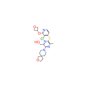 Cc1nc(N2CCC3(CCOC3)CC2)c(CO)nc1Sc1ccnc(OC2COC2)c1Cl